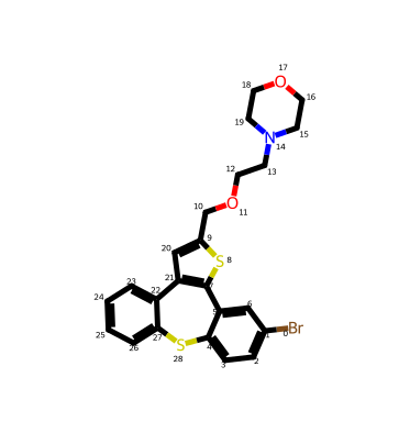 Brc1ccc2c(c1)-c1sc(COCCN3CCOCC3)cc1-c1ccccc1S2